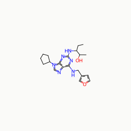 CCC(Nc1nc(NCc2ccoc2)c2ncn(C3CCCC3)c2n1)C(C)O